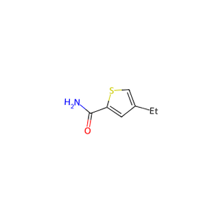 CCc1csc(C(N)=O)c1